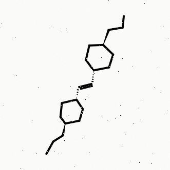 CCC[C@H]1CC[C@H](C=C[C@H]2CC[C@H](CCC)CC2)CC1